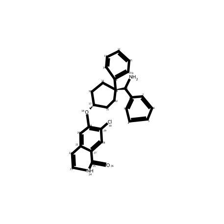 NC(c1ccccc1)[C@]1(c2ccccc2)CC[C@@H](Oc2cc3cc[nH]c(=O)c3cc2Cl)CC1